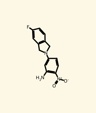 Nc1cc(N2Cc3ccc(F)cc3C2)ccc1[N+](=O)[O-]